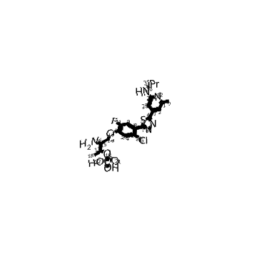 Cc1cc(-c2nnc(-c3cc(F)c(OCC(N)C(C)OP(=O)(O)O)cc3Cl)s2)cc(NC(C)C)n1